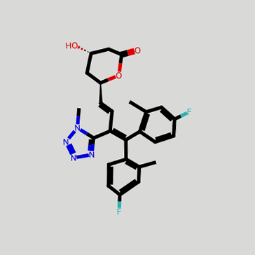 Cc1cc(F)ccc1C(=C(C=C[C@H]1C[C@H](O)CC(=O)O1)c1nnnn1C)c1ccc(F)cc1C